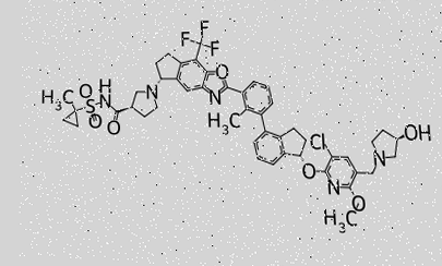 COc1nc(O[C@H]2CCc3c(-c4cccc(-c5nc6cc7c(c(C(F)(F)F)c6o5)CC[C@H]7N5CC[C@@H](C(=O)NS(=O)(=O)C6(C)CC6)C5)c4C)cccc32)c(Cl)cc1CN1CC[C@@H](O)C1